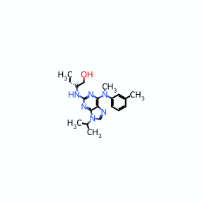 CC[C@H](CO)Nc1nc(N(C)c2cccc(C)c2)c2ncn(C(C)C)c2n1